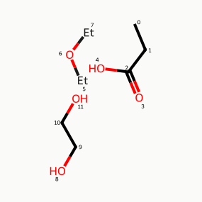 CCC(=O)O.CCOCC.OCCO